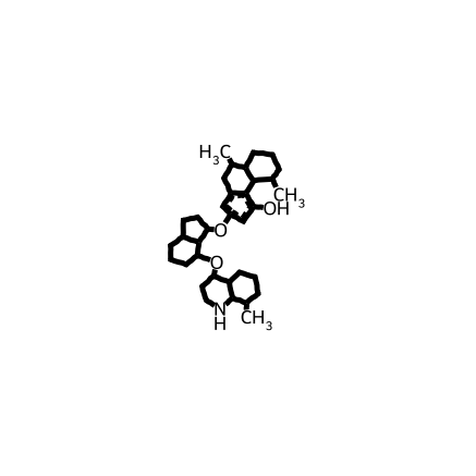 CC1Cc2cc(OC3CCC4CCCC(OC5CCNC6C(C)CCCC56)C43)cc(O)c2C2C(C)CCCC12